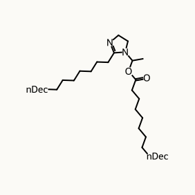 CCCCCCCCCCCCCCCCCC(=O)OC(C)N1CCN=C1CCCCCCCCCCCCCCCCC